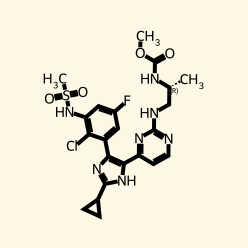 COC(=O)N[C@H](C)CNc1nccc(-c2[nH]c(C3CC3)nc2-c2cc(F)cc(NS(C)(=O)=O)c2Cl)n1